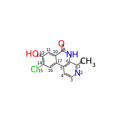 Cc1nccc2c1[nH]c(=O)c1cc(O)c(Cl)cc12